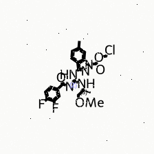 COC[C@H](C)N/C(=N/C(=O)c1ccc(F)c(F)c1)Nc1nn(C(=O)OCCl)c2cc(C)ccc12